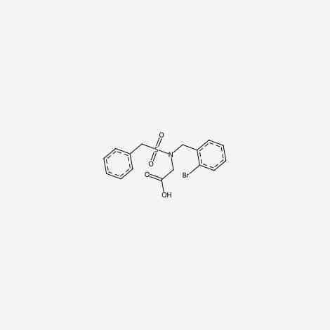 O=C(O)CN(Cc1ccccc1Br)S(=O)(=O)Cc1ccccc1